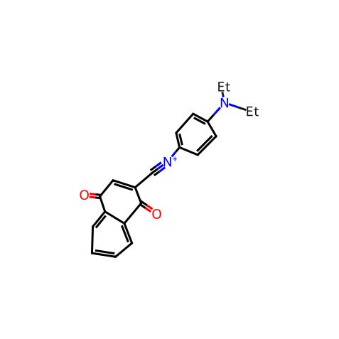 CCN(CC)c1ccc([N+]#CC2=CC(=O)c3ccccc3C2=O)cc1